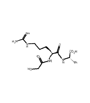 CC(C)[C@H](NC(=O)[C@H](CCCNC(=N)N)NC(=O)CO)C(=O)O